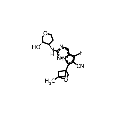 CC12CC(c3c(C#N)c(F)c4cnc(N[C@@H]5CCOC[C@H]5O)nn34)(CO1)C2